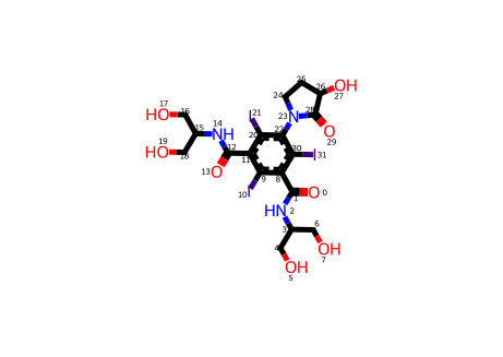 O=C(NC(CO)CO)c1c(I)c(C(=O)NC(CO)CO)c(I)c(N2CCC(O)C2=O)c1I